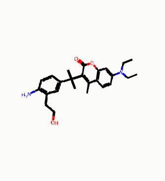 CCN(CC)c1ccc2c(C)c(C(C)(C)c3ccc(N)c(CCO)c3)c(=O)oc2c1